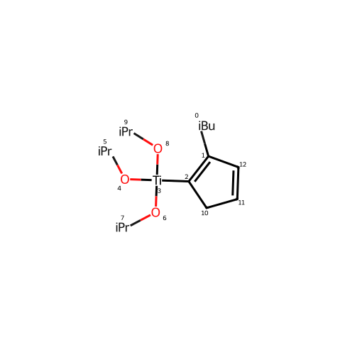 CCC(C)C1=[C]([Ti]([O]C(C)C)([O]C(C)C)[O]C(C)C)CC=C1